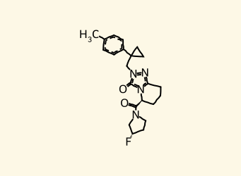 Cc1ccc(C2(Cn3nc4n(c3=O)[C@H](C(=O)N3CC[C@H](F)C3)CCC4)CC2)cc1